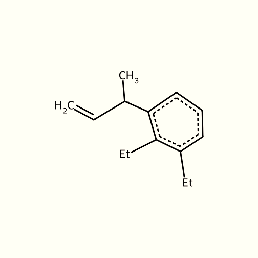 C=C[C](C)c1cccc(CC)c1CC